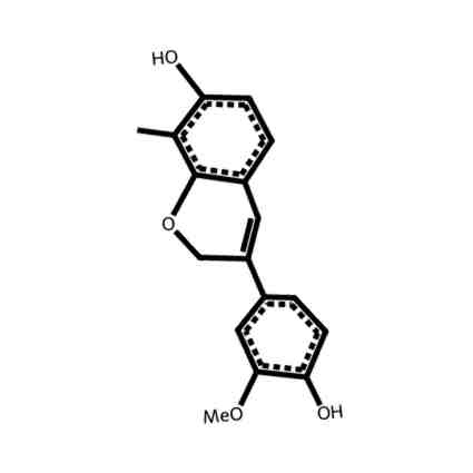 COc1cc(C2=Cc3ccc(O)c(C)c3OC2)ccc1O